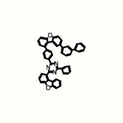 c1ccc(-c2cccc(-c3ccc4oc5cccc(-c6ccc(-c7nc(-c8ccccc8)nc(-c8cccc9oc%10ccccc%10c89)n7)cc6)c5c4c3)c2)cc1